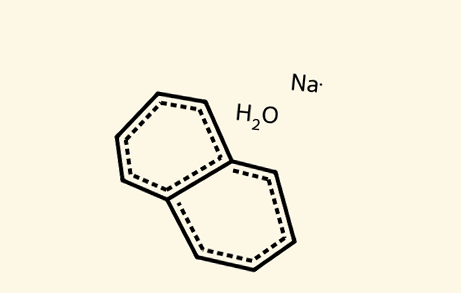 O.[Na].c1ccc2ccccc2c1